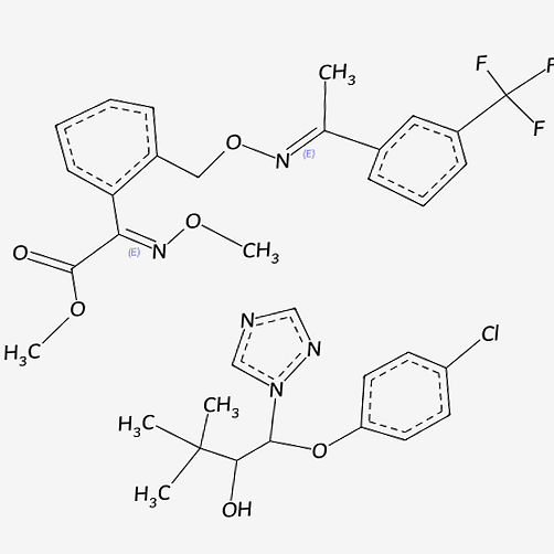 CC(C)(C)C(O)C(Oc1ccc(Cl)cc1)n1cncn1.CO/N=C(/C(=O)OC)c1ccccc1CO/N=C(\C)c1cccc(C(F)(F)F)c1